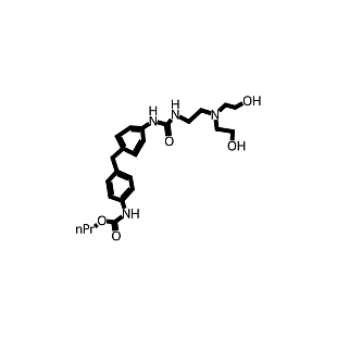 CCCOC(=O)Nc1ccc(Cc2ccc(NC(=O)NCCN(CCO)CCO)cc2)cc1